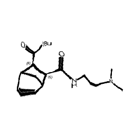 CN(C)CCNC(=O)[C@H]1C2C=CC(C2)[C@H]1C(=O)C(C)(C)C